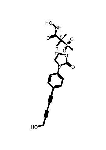 C[C@@](C[C@H]1CN(c2ccc(C#CC#CCO)cc2)C(=O)O1)(C(=O)NO)S(C)(=O)=O